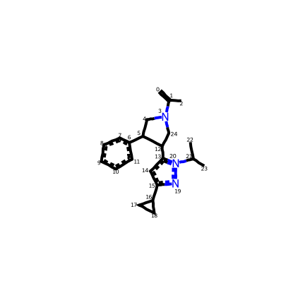 C=C(C)N1CC(c2ccccc2)C(c2cc(C3CC3)nn2C(C)C)C1